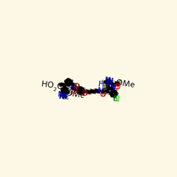 COC(=O)C[C@@H]1N=C(c2ccc(Cl)cc2)c2c(sc(C(=O)NCCCCCCOc3ccc(S(=O)(=O)N(C)Cc4cccc(C(CC(=O)O)c5cc(OC)c6c(c5)nnn6C)c4)cc3)c2C)-n2c(C)nnc21